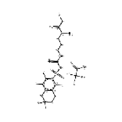 Cc1c(C)c(S(=O)(=O)NC(=N)NCCCC(N)C(=O)CF)c(C)c2c1OC(C)(C)CC2.O=C(O)C(F)(F)F